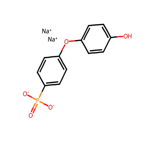 O=P([O-])([O-])c1ccc(Oc2ccc(O)cc2)cc1.[Na+].[Na+]